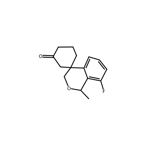 CC1OCC2(CCCC(=O)C2)c2cccc(F)c21